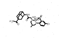 CC1CN(CC(=O)NC2C3CC4CC2CC(C(N)=O)(C4)C3)S(O)(O)N(c2ccc(Cl)cc2[N+](=O)[O-])C1